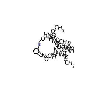 C=C[C@@H]1C[C@]1(NC(=O)[C@@H]1C[C@@H]2CN1C(=O)[C@H](C(C)(C)C)NC(=O)[C@@H](NC(=O)OCC)COC/C=C/c1cccc3c1CN(C3)C(=O)O2)C(=O)NS(=O)(=O)C1CC1